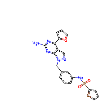 Nc1nc(-c2ccco2)c2cnn(Cc3cccc(NS(=O)(=O)c4cccs4)c3)c2n1